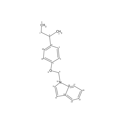 CCC(C)c1ccc(OCn2ccc3ccccc32)cc1